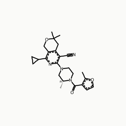 Cc1occc1C(=O)N1CCN(c2nc(C3CC3)c3c(c2C#N)CC(C)(C)OC3)C[C@H]1C